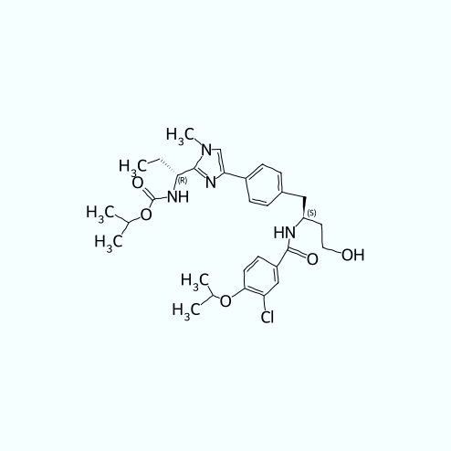 CC[C@@H](NC(=O)OC(C)C)c1nc(-c2ccc(C[C@@H](CCO)NC(=O)c3ccc(OC(C)C)c(Cl)c3)cc2)cn1C